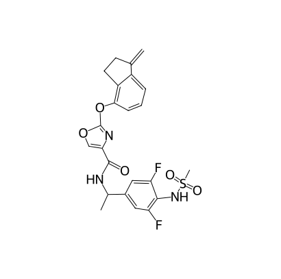 C=C1CCc2c(Oc3nc(C(=O)NC(C)c4cc(F)c(NS(C)(=O)=O)c(F)c4)co3)cccc21